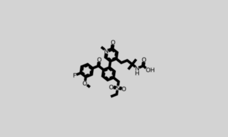 CCS(=O)(=O)Cc1ccc(C(=O)c2ccc(F)c(OC)c2)c(-c2cn(C)c(=O)cc2CCC(C)(C)NC(=O)O)c1